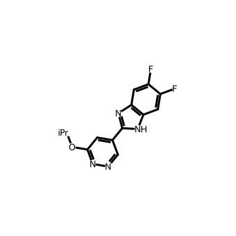 CC(C)Oc1cc(-c2nc3cc(F)c(F)cc3[nH]2)cnn1